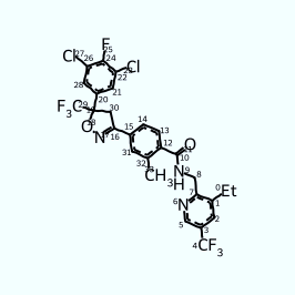 CCc1cc(C(F)(F)F)cnc1CNC(=O)c1ccc(C2=NOC(c3cc(Cl)c(F)c(Cl)c3)(C(F)(F)F)C2)cc1C